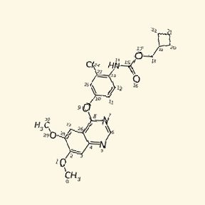 COc1cc2ncnc(Oc3ccc(NC(=O)OCC4CCC4)c(Cl)c3)c2cc1OC